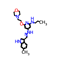 CCCNc1cc(N/N=C/c2c[nH]c3cc(C)ccc23)cc(OCCN2CCOCC2)n1